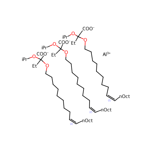 CCCCCCCC/C=C\CCCCCCCCOC(CC)(OC(C)C)C(=O)[O-].CCCCCCCC/C=C\CCCCCCCCOC(CC)(OC(C)C)C(=O)[O-].CCCCCCCC/C=C\CCCCCCCCOC(CC)(OC(C)C)C(=O)[O-].[Al+3]